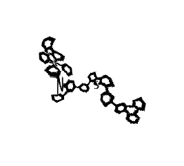 c1ccc([Si](c2ccccc2)(c2cccc(-n3c4ccccc4c4cc(-c5cccc(-c6cccc7c6sc6c(-c8cccc(-c9ccc%10c%11ccccc%11c%11ccccc%11c%10c9)c8)cccc67)c5)ccc43)c2)c2cccc3c2sc2ccccc23)cc1